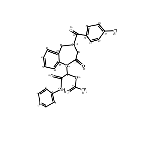 O=C(Nc1ccncc1)C(OC(=O)C(F)(F)F)N1C(=O)CN(C(=O)c2ccc(Cl)cc2)Cc2ccccc21